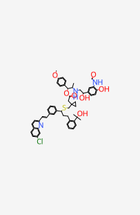 COc1ccc(C(OC(=O)CC2(CSC(CCc3ccccc3C(C)(C)O)c3cccc(C=Cc4ccc5ccc(Cl)cc5n4)c3)CC2)C(C)NCC(O)c2ccc(O)c(NC=O)c2)cc1